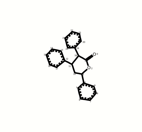 O=C1OC(c2ccccc2)CC(c2ccccc2)C1c1ccccc1